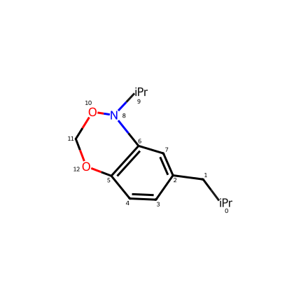 CC(C)Cc1ccc2c(c1)N(C(C)C)OCO2